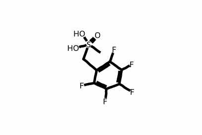 CS(=O)(O)(O)Cc1c(F)c(F)c(F)c(F)c1F